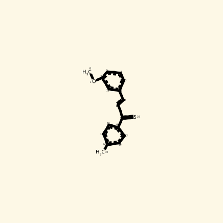 COc1cccc(C=CC(=S)c2ccc(C)cc2)c1